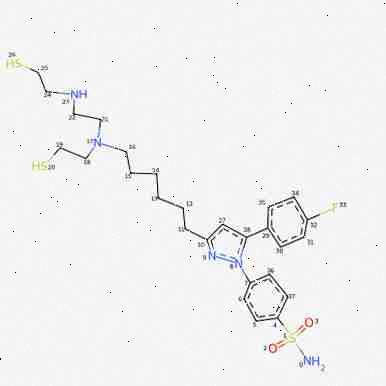 NS(=O)(=O)c1ccc(-n2nc(CCCCCCN(CCS)CCNCCS)cc2-c2ccc(F)cc2)cc1